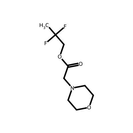 CC(F)(F)COC(=O)CN1CCOCC1